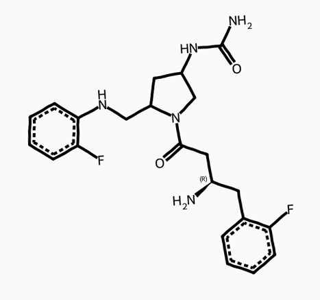 NC(=O)NC1CC(CNc2ccccc2F)N(C(=O)C[C@H](N)Cc2ccccc2F)C1